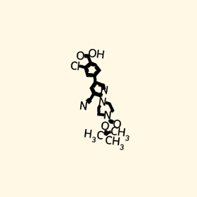 CC(C)(C)OC(=O)N1CCN(c2ncc(-c3ccc(C(=O)O)c(Cl)c3)cc2C#N)CC1